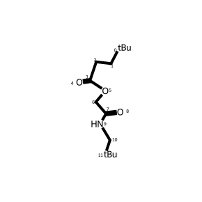 CC(C)(C)CCC(=O)OCC(=O)NCC(C)(C)C